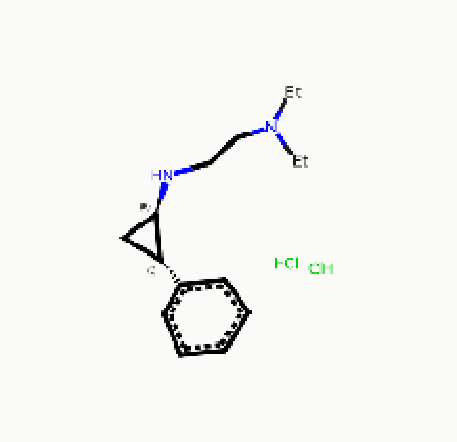 CCN(CC)CCN[C@@H]1C[C@H]1c1ccccc1.Cl.Cl